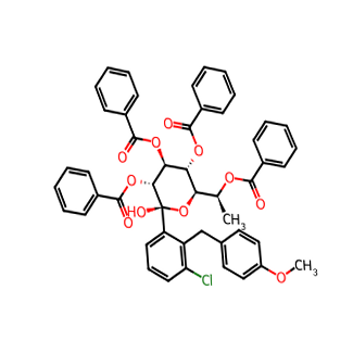 COc1ccc(Cc2c(Cl)cccc2[C@@]2(O)O[C@H]([C@H](C)OC(=O)c3ccccc3)[C@@H](OC(=O)c3ccccc3)[C@H](OC(=O)c3ccccc3)[C@H]2OC(=O)c2ccccc2)cc1